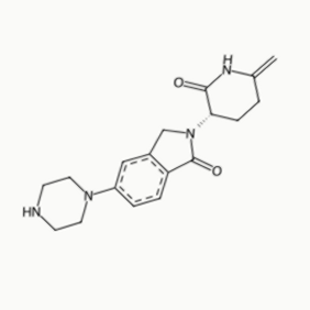 C=C1CC[C@H](N2Cc3cc(N4CCNCC4)ccc3C2=O)C(=O)N1